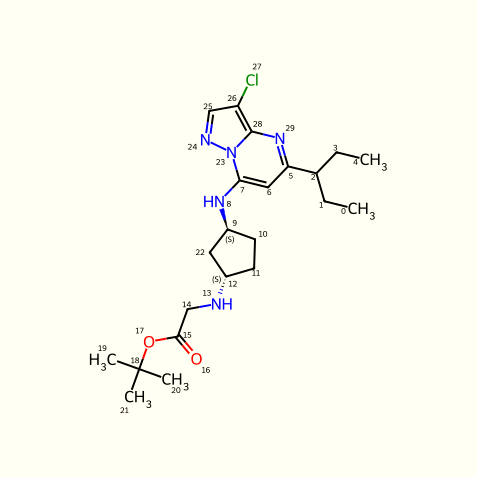 CCC(CC)c1cc(N[C@H]2CC[C@H](NCC(=O)OC(C)(C)C)C2)n2ncc(Cl)c2n1